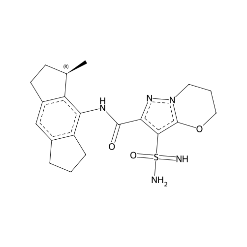 C[C@@H]1CCc2cc3c(c(NC(=O)c4nn5c(c4S(=N)(N)=O)OCCC5)c21)CCC3